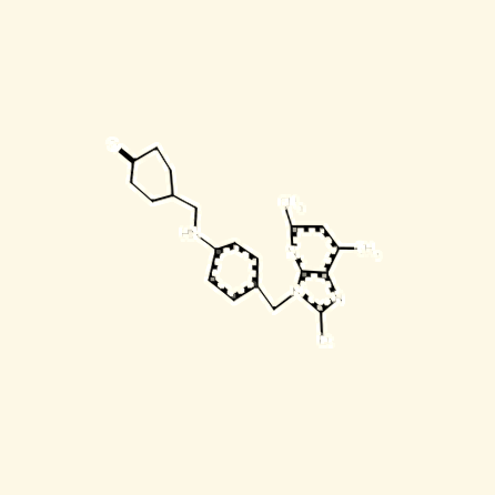 CCc1nc2c(C)cc(C)nc2n1Cc1ccc(NCC2CCC(=O)CC2)cc1